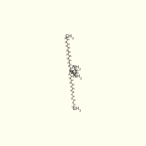 CCCCCCCCCCCCCCCCCCNCCCCCCCCCCCCCCCCCC.Nc1ccc(N)cc1